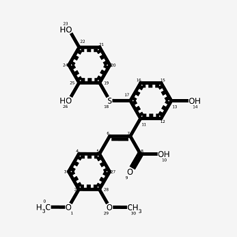 COc1ccc(C=C(C(=O)O)c2cc(O)ccc2Sc2ccc(O)cc2O)cc1OC